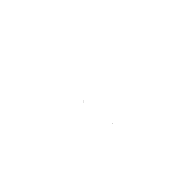 N#CN=C(NCc1ccccc1)Nc1ccncc1